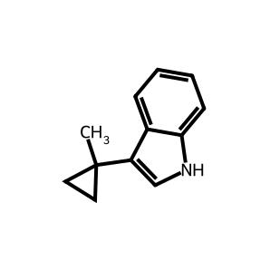 CC1(c2c[nH]c3ccccc23)CC1